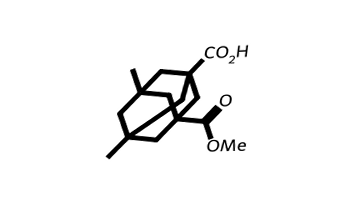 COC(=O)C12CC3(C)CC(C)(CC(C(=O)O)(C3)C1)C2